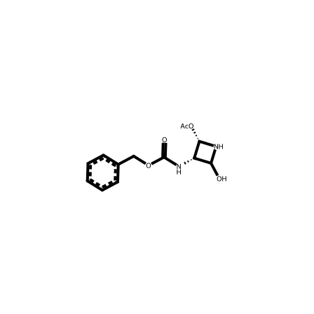 CC(=O)O[C@@H]1NC(O)[C@@H]1NC(=O)OCc1ccccc1